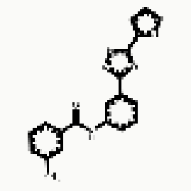 Cc1cccc(C(=O)Nc2cccc(-c3nnc(-c4ccco4)o3)c2)c1